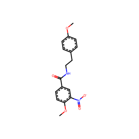 COc1ccc(CCNC(=O)c2ccc(OC)c([N+](=O)[O-])c2)cc1